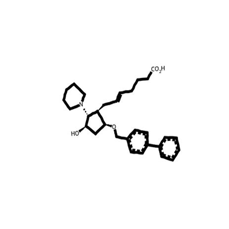 O=C(O)CCC/C=C/C[C@@H]1[C@@H](N2CCCCC2)[C@H](O)C[C@@H]1OCc1ccc(-c2ccccc2)cc1